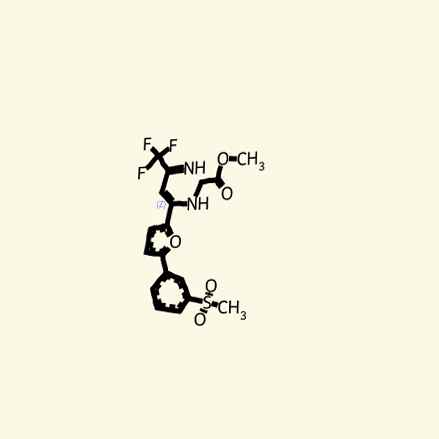 COC(=O)CN/C(=C\C(=N)C(F)(F)F)c1ccc(-c2cccc(S(C)(=O)=O)c2)o1